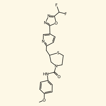 COc1ccc(NC(=O)N2CCSC(Cc3ccc(-c4nnc(C(F)F)o4)cn3)C2)cc1